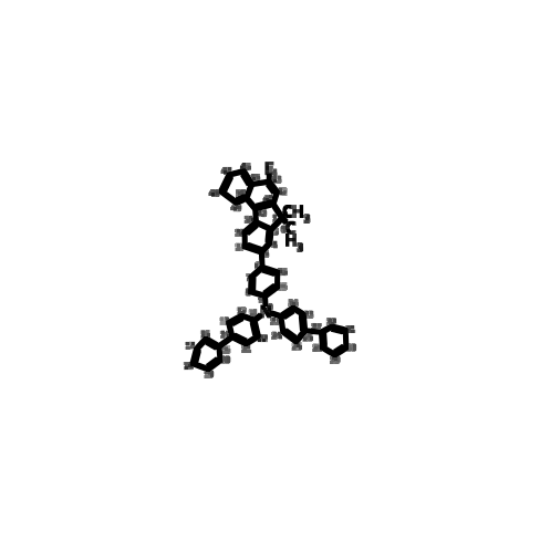 CC1(C)c2cc(-c3ccc(N(c4ccc(-c5ccccc5)cc4)c4ccc(-c5ccccc5)cc4)cc3)ccc2-c2c1cc(F)c1ccccc21